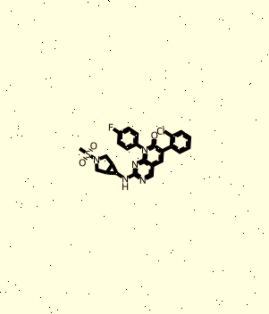 CS(=O)(=O)N1CC2C(C1)C2Nc1ncc2cc(-c3ccccc3Cl)c(=O)n(-c3ccc(F)cc3)c2n1